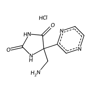 Cl.NCC1(c2cnccn2)NC(=O)NC1=O